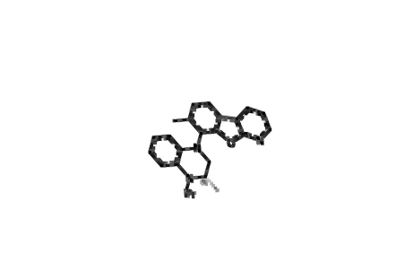 Cc1ccc2c(oc3ncccc32)c1N1C[C@H](C)N(C(C)C)c2ccccc21